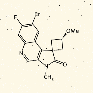 CO[C@H]1C[C@]2(C1)C(=O)N(C)c1cnc3cc(F)c(Br)cc3c12